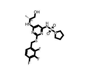 C[C@H](CO)Nc1cc(NS(=O)(=O)N2CCCC2)nc(SCc2ccc(F)c(F)c2F)n1